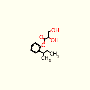 CCC(C)c1ccccc1OC(=O)C(O)CO